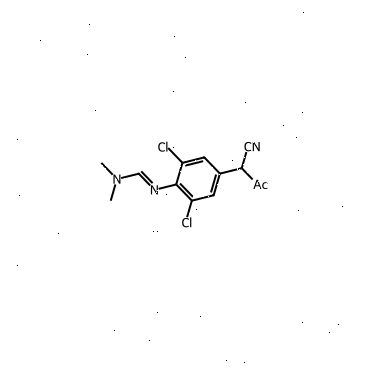 CC(=O)C(C#N)c1cc(Cl)c(N=CN(C)C)c(Cl)c1